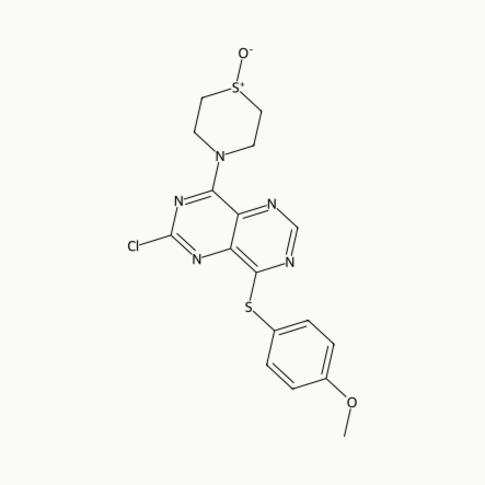 COc1ccc(Sc2ncnc3c(N4CC[S+]([O-])CC4)nc(Cl)nc23)cc1